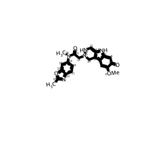 COC1=Cc2c3c([nH]c2=CC1=O)=CNN(CC(=O)N(C)c1ccc2nc(C)oc2c1)C3